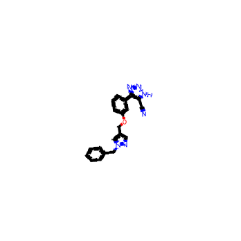 N#Cc1[nH]nnc1-c1cccc(OCc2cnn(Cc3ccccc3)c2)c1